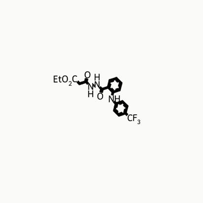 CCOC(=O)CC(=O)NNC(=O)c1ccccc1Nc1ccc(C(F)(F)F)cc1